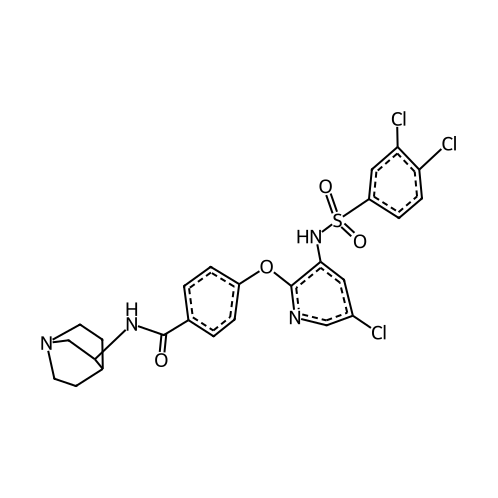 O=C(NC1CN2CCC1CC2)c1ccc(Oc2ncc(Cl)cc2NS(=O)(=O)c2ccc(Cl)c(Cl)c2)cc1